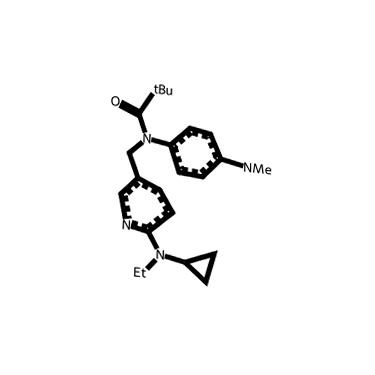 CCN(c1ccc(CN(C(=O)C(C)(C)C)c2ccc(NC)cc2)cn1)C1CC1